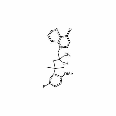 COc1ccc(F)cc1C(C)(C)CC(O)(Cn1ccc(=O)c2ncccc21)C(F)(F)F